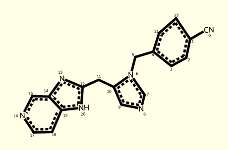 N#Cc1ccc(Cn2cncc2Cc2nc3cnccc3[nH]2)cc1